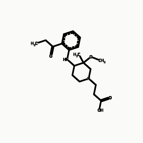 CCC(=O)c1ccccc1NC1CCN(CCC(=O)O)CC1(C)OC